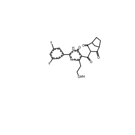 COCCc1nc(-c2cc(F)cc(F)c2)[nH]c(=O)c1C(=O)C1C(=O)C2CCC(C2)C1=O